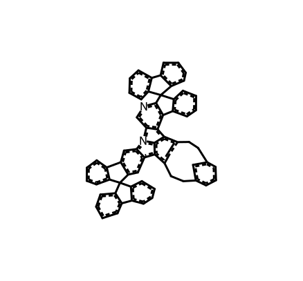 c1cc2cc(c1)CCc1cc(c3c4cc5c(cc4n4c6cnc7c(c6c1c34)-c1ccccc1C71c3ccccc3-c3ccccc31)-c1ccccc1C51c3ccccc3-c3ccccc31)CC2